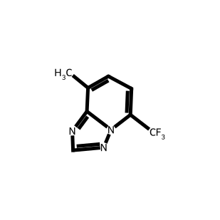 Cc1ccc(C(F)(F)F)n2ncnc12